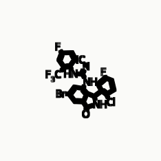 N#C/N=C(\Nc1ccc(F)cc1C(F)(F)F)Nc1cc(Br)cc2c1C(c1cc(F)ccc1Cl)NC2=O